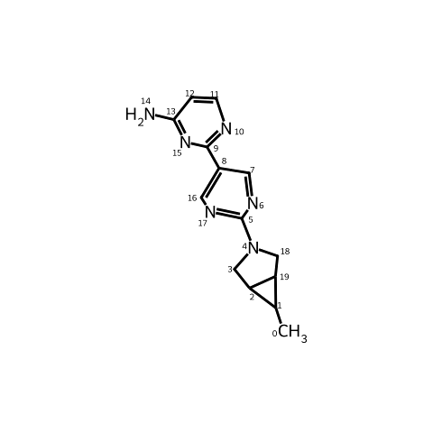 CC1C2CN(c3ncc(-c4nccc(N)n4)cn3)CC12